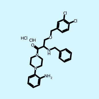 Cl.Cl.Nc1ccccc1N1CCN(C(=O)C(COCc2ccc(Cl)c(Cl)c2)NCc2ccccc2)CC1